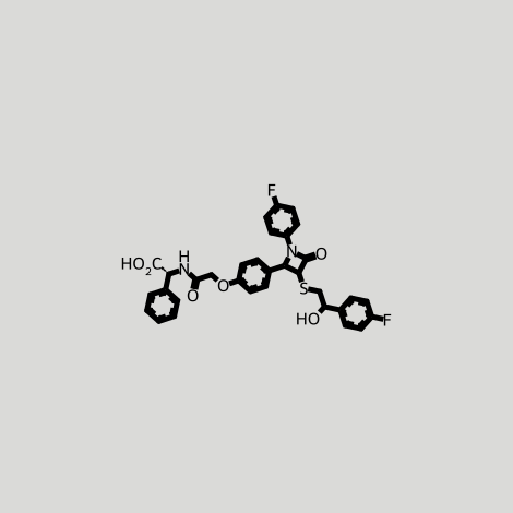 O=C(COc1ccc(C2C(SCC(O)c3ccc(F)cc3)C(=O)N2c2ccc(F)cc2)cc1)N[C@@H](C(=O)O)c1ccccc1